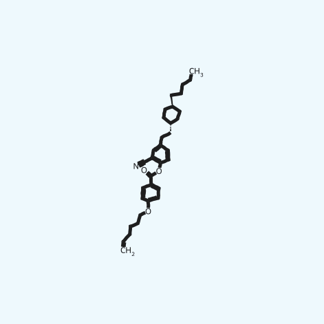 C=CCCCCOc1ccc(C(=O)Oc2ccc(CC[C@H]3CC[C@H](CCCCC)CC3)cc2C#N)cc1